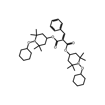 CC1(C)CC(OC(=O)C(=Cc2ccccc2)C(=O)OC2CC(C)(C)N(OC3CCCCC3)C(C)(C)C2)CC(C)(C)N1OC1CCCCC1